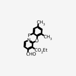 CCOC(=O)c1c(C=O)ccnc1Oc1c(C)cc(C)cc1F